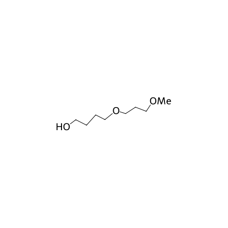 COCCCOCCCCO